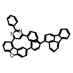 c1ccc(-c2cc(-c3cccc4oc5ccc(-c6ccc(-c7ccc8c9c(cccc79)-c7ccccc7-8)cc6)cc5c34)nc(-c3ccccc3)n2)cc1